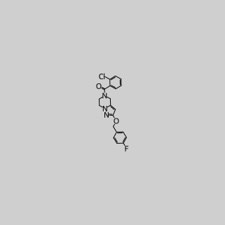 O=C(c1ccccc1Cl)N1CCn2nc(OCc3ccc(F)cc3)cc2C1